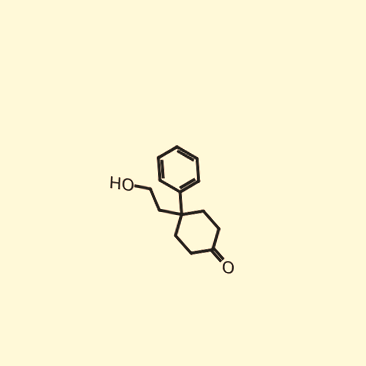 O=C1CCC(CCO)(c2ccccc2)CC1